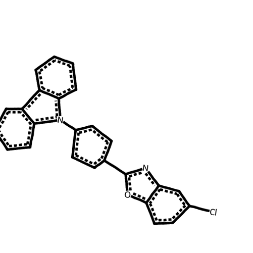 Clc1ccc2oc(-c3ccc(-n4c5ccccc5c5ccccc54)cc3)nc2c1